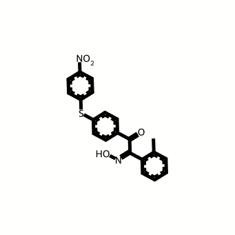 Cc1ccccc1/C(=N/O)C(=O)c1ccc(Sc2ccc([N+](=O)[O-])cc2)cc1